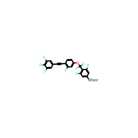 CCCCCc1cc(F)c(C(F)(F)Oc2ccc(C#Cc3cc(F)c(F)c(F)c3)c(F)c2)c(F)c1